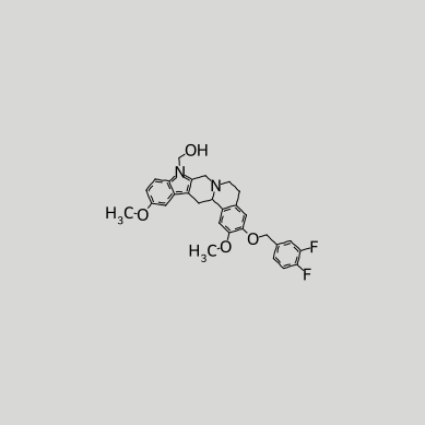 COc1ccc2c(c1)c1c(n2CO)CN2CCc3cc(OCc4ccc(F)c(F)c4)c(OC)cc3C2C1